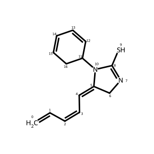 C=C/C=C\C=C1/CN=C(S)N1C1C=CC=CC1